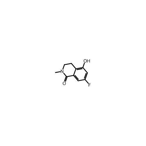 CN1CCc2c(O)cc(F)cc2C1=O